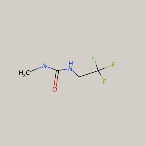 C[N]C(=O)NCC(F)(F)F